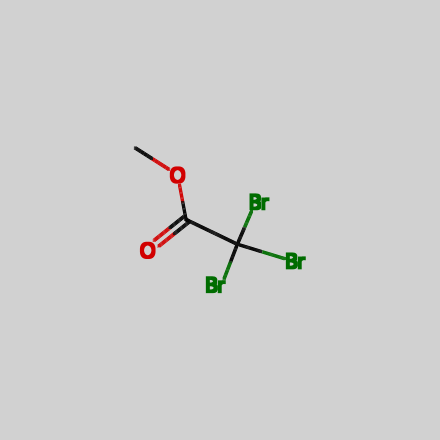 COC(=O)C(Br)(Br)Br